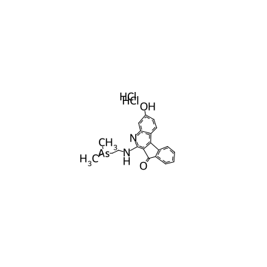 C[As](C)CCNc1nc2cc(O)ccc2c2c1C(=O)c1ccccc1-2.Cl.Cl